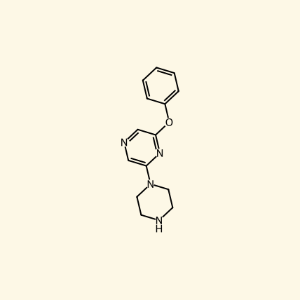 c1ccc(Oc2cncc(N3CCNCC3)n2)cc1